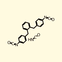 N=C=O.O=C=Nc1ccc(Cc2ccccc2Cc2ccc(N=C=O)cc2)cc1